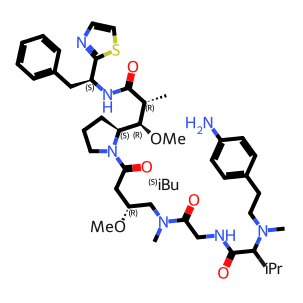 CC[C@H](C)C([C@@H](CC(=O)N1CCC[C@H]1[C@H](OC)[C@@H](C)C(=O)N[C@@H](Cc1ccccc1)c1nccs1)OC)N(C)C(=O)CNC(=O)C(C(C)C)N(C)CCc1ccc(N)cc1